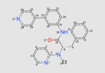 CCN(c1ccccn1)[C@@H](Cc1ccccc1)C(=O)Nc1cccc(-c2ccncc2)c1